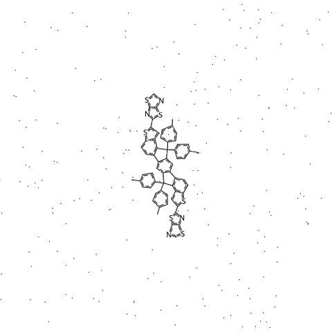 Cc1ccc(C2(c3ccc(C)cc3)c3cc4c(cc3-c3ccc5sc(-c6nc7scnc7s6)cc5c32)C(c2ccc(C)cc2)(c2ccc(C)cc2)c2c-4ccc3sc(-c4nc5scnc5s4)cc23)cc1